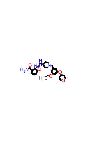 CCOc1cc(CN2CCC(Nc3nc4c(C(N)=O)[c]ccc4o3)CC2)cc(OC2CCOCC2)c1